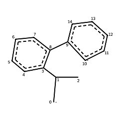 [CH2]C(C)c1ccccc1-c1[c]cccc1